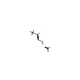 CC(C)=NC/C=C(\C)C(C)(C)C